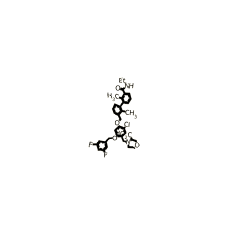 CCNC(=O)c1cccc(-c2cccc(COc3cc(OCc4cc(F)cc(F)c4)c(CN4CCOCC4C(=O)O)cc3Cl)c2C)c1C